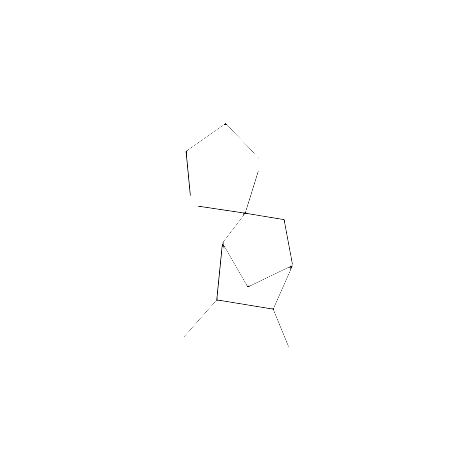 CC1C2CC(C1C)C1(C2)SCCS1